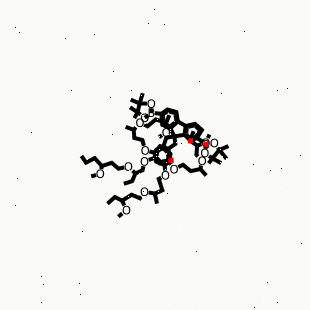 CCCC(CCOC(CC)COc1cc(CC2(Cc3cc(OCCC(C)OCCC(C)OC)cc(OCCC(C)OCCC(CC)OC)c3)c3cc(B4OC(C)(C)C(C)(C)O4)ccc3-c3ccc(B4OC(C)(C)C(C)(C)O4)cc32)cc(OCCC(C)OCC(CC)OC)c1)OC